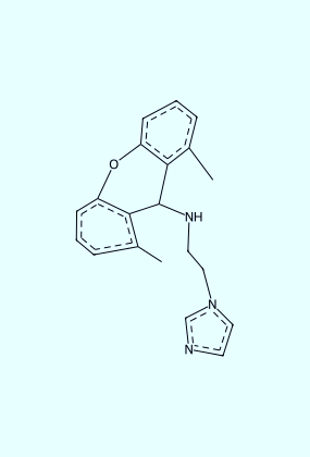 Cc1cccc2c1C(NCCn1ccnc1)c1c(C)cccc1O2